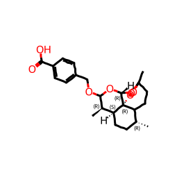 C[C@@H]1CC[C@H]2[C@@H](C)C(OCc3ccc(C(=O)O)cc3)O[C@@H]3OC4(C)CCC1[C@]32OO4